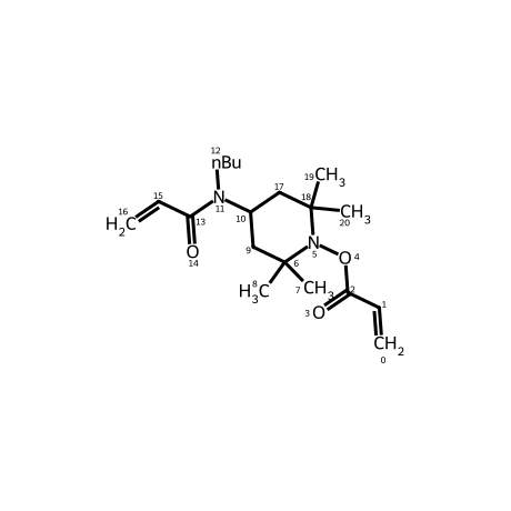 C=CC(=O)ON1C(C)(C)CC(N(CCCC)C(=O)C=C)CC1(C)C